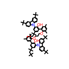 Cc1cc(C)c(OCCCOc2c(C)cc(C)cc2-c2cc(C(C)(C)CC(C)(C)C)cc(-n3c4ccc(C(C)(C)C)cc4c4cc(C(C)(C)C)ccc43)c2O)c(-c2cc(C(C)(C)CC(C)(C)C)cc(-n3c4ccc(C(C)(C)C)cc4c4cc(C(C)(C)C)ccc43)c2O)c1